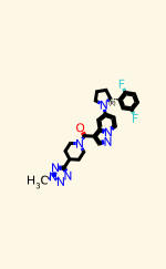 Cn1nnc(C2CCN(C(=O)c3cnn4ccc(N5CCC[C@@H]5c5cc(F)ccc5F)cc34)CC2)n1